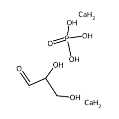 O=P(O)(O)O.O=[C]C(O)CO.[CaH2].[CaH2]